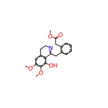 COC(=O)Cc1ccccc1CC1=NCCc2cc(OC)c(OC)c(O)c21